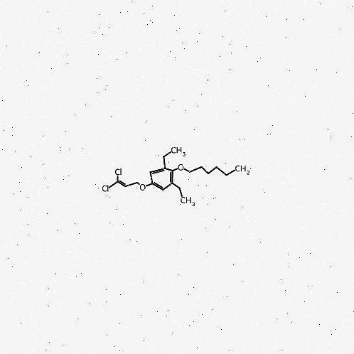 [CH2]CCCCCOc1c(CC)cc(OCC=C(Cl)Cl)cc1CC